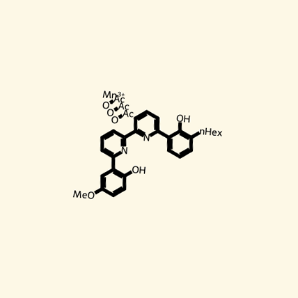 CC(=O)[O-].CC(=O)[O-].CC(=O)[O-].CCCCCCc1cccc(-c2cccc(-c3cccc(-c4cc(OC)ccc4O)n3)n2)c1O.[Mn+3]